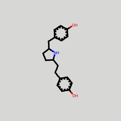 Oc1ccc(CCC2CCC(Cc3ccc(O)cc3)N2)cc1